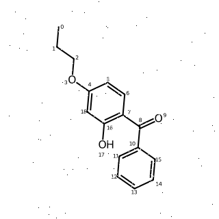 CCCOc1ccc(C(=O)c2ccccc2)c(O)c1